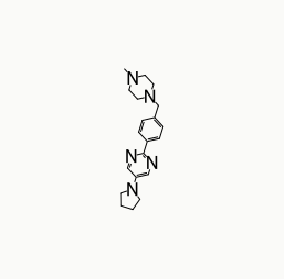 CN1CCN(Cc2ccc(-c3ncc(N4CCCC4)cn3)cc2)CC1